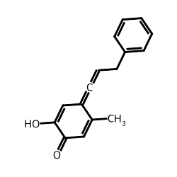 CC1=CC(=O)C(O)=CC1=C=CCc1ccccc1